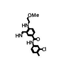 COCCNc1ccc(C(=O)Nc2ccc(C)c(Cl)c2)cc1C=N